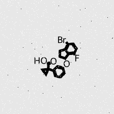 O=C(O)C1(c2cccc(O[C@@H]3CCc4c(Br)ccc(F)c43)c2)CC1